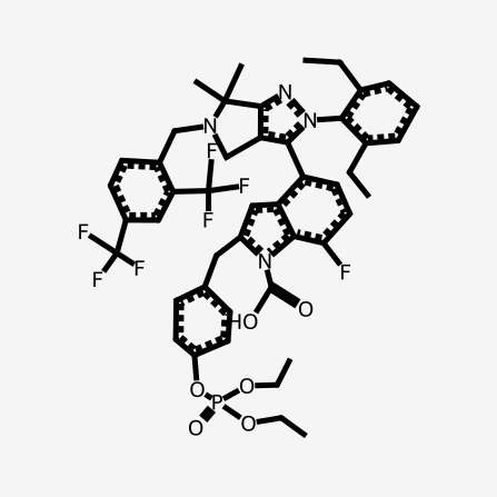 CCOP(=O)(OCC)Oc1ccc(Cc2cc3c(-c4c5c(nn4-c4c(CC)cccc4CC)C(C)(C)N(Cc4ccc(C(F)(F)F)cc4C(F)(F)F)C5)ccc(F)c3n2C(=O)O)cc1